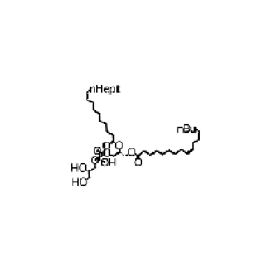 CCCC/C=C\C/C=C\CCCCCCCC(=O)OC[C@H](COP(=O)(O)OC[C@@H](O)CO)OC(=O)CCCCCCC/C=C\CCCCCCC